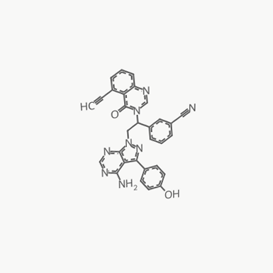 C#Cc1cccc2ncn(C(Cn3nc(-c4ccc(O)cc4)c4c(N)ncnc43)c3cccc(C#N)c3)c(=O)c12